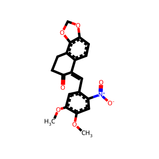 COc1cc(C=C2C(=O)CCc3c2ccc2c3OCO2)c([N+](=O)[O-])cc1OC